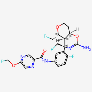 NC1=N[C@](CF)(c2cc(NC(=O)c3cnc(OCF)cn3)ccc2F)[C@H]2[C@H](CF)OCC[C@H]2O1